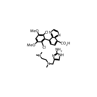 CN(C)CCN(C)Cc1c[nH]c(N)n1.COc1cc(OC)c(Cl)c(-c2ccc(C(=O)O)c3nccnc23)c1Cl